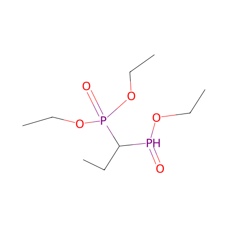 CCO[PH](=O)C(CC)P(=O)(OCC)OCC